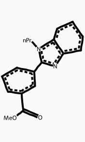 CCCn1c(-c2cccc(C(=O)OC)c2)nc2ccccc21